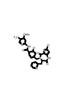 COc1cc(NC(=O)c2ccc(CN3C(=O)c4sc(Cl)cc4NC(=O)C3Cc3ccccn3)cc2Cl)ncc1C(F)(F)F